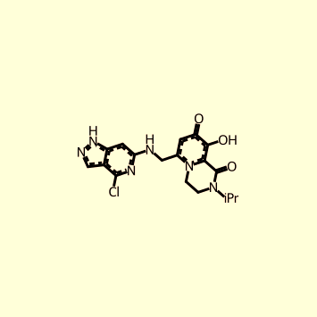 CC(C)N1CCn2c(CNc3cc4[nH]ncc4c(Cl)n3)cc(=O)c(O)c2C1=O